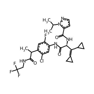 CC(C(=O)NCC(F)(F)F)c1cc(F)c(NC(=O)[C@@H](NC(=O)c2ccnn2C(C)C)C(=C2CC2)C2CC2)cc1Cl